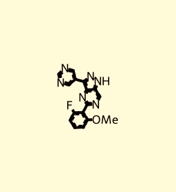 COc1cccc(F)c1-c1ncc2[nH]nc(-c3cncnc3)c2n1